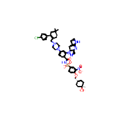 CC1(C)CCC(CN2CCN(c3ccc(C(=O)NS(=O)(=O)c4ccc(OC[C@H]5CC[C@](C)(O)CC5)c([N+](=O)[O-])c4)c(-n4ncc5nc6[nH]ccc6cc54)c3)CC2)=C(c2ccc(Cl)cc2)C1